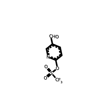 O=Cc1ccc(OS(=O)(=O)C(F)(F)F)nc1